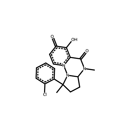 CN1C(=O)c2c(O)c(=O)ccn2N2C1CCC2(C)c1ccccc1Cl